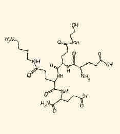 [3H]C(=O)CCC(NC(=O)C(CCC(=O)NCCCCN)NC(=O)C(CCC(=O)NCCO)NC(=O)C(N)CCC(=O)O)C(N)=O